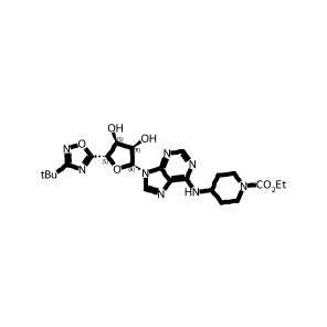 CCOC(=O)N1CCC(Nc2ncnc3c2ncn3[C@@H]2O[C@H](c3nc(C(C)(C)C)no3)[C@@H](O)[C@H]2O)CC1